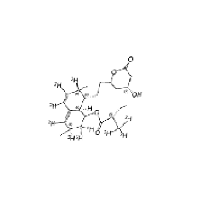 [2H]C1=C([2H])[C@]([2H])(C)[C@H](CCC2C[C@@H](O)CC(=O)O2)[C@@H]2C1=C([2H])[C@]([2H])(C)C([2H])([2H])C2OC(=O)[C@H](CC)C([2H])([2H])[2H]